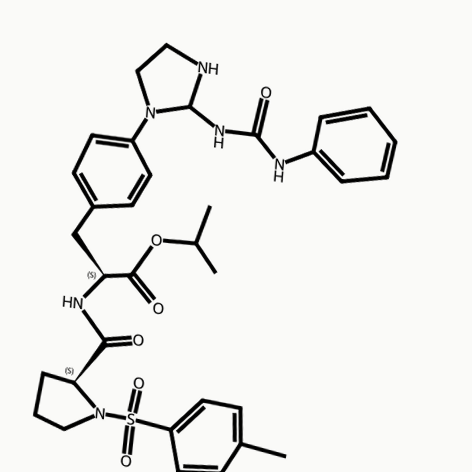 Cc1ccc(S(=O)(=O)N2CCC[C@H]2C(=O)N[C@@H](Cc2ccc(N3CCNC3NC(=O)Nc3ccccc3)cc2)C(=O)OC(C)C)cc1